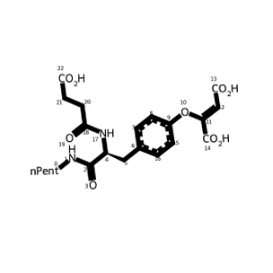 CCCCCNC(=O)[C@H](Cc1ccc(O/C(=C\C(=O)O)C(=O)O)cc1)NC(=O)CCC(=O)O